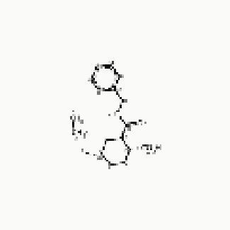 O=C(O)[C@@H]1CC[C@H](O)CN1C(=O)OCc1ccccc1.[CH2]C